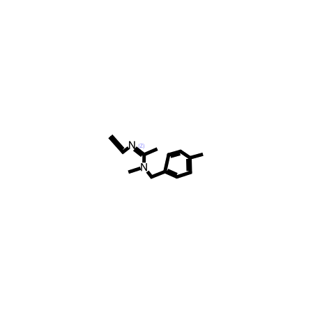 C=C/N=C(/C)N(C)Cc1ccc(C)cc1